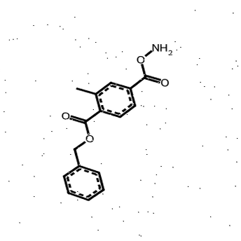 Cc1cc(C(=O)ON)ccc1C(=O)OCc1ccccc1